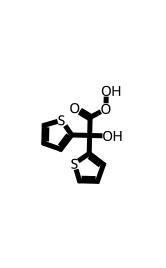 O=C(OO)C(O)(c1cccs1)c1cccs1